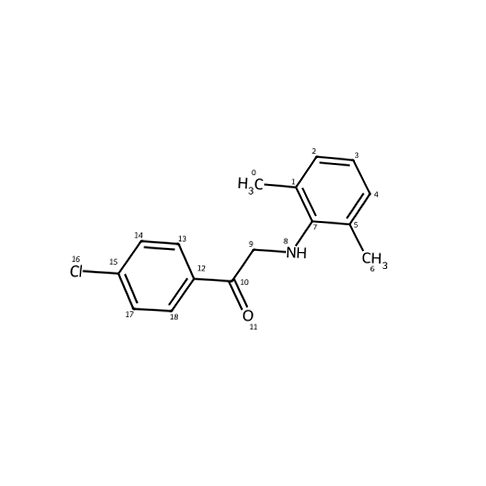 Cc1cccc(C)c1NCC(=O)c1ccc(Cl)cc1